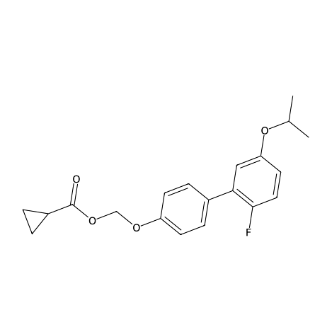 CC(C)Oc1ccc(F)c(-c2ccc(OCOC(=O)C3CC3)cc2)c1